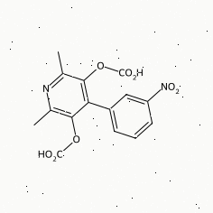 Cc1nc(C)c(OC(=O)O)c(-c2cccc([N+](=O)[O-])c2)c1OC(=O)O